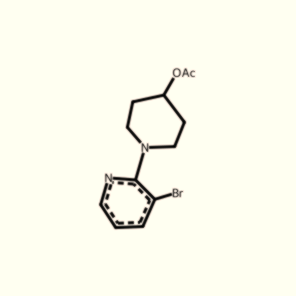 CC(=O)OC1CCN(c2ncccc2Br)CC1